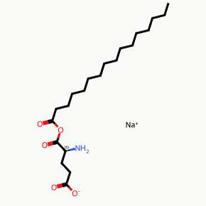 CCCCCCCCCCCCCCCC(=O)OC(=O)[C@@H](N)CCC(=O)[O-].[Na+]